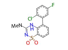 CNC1=NS(=O)(=O)c2cccc(-c3cc(F)ccc3Cl)c2N1